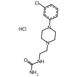 Cl.NC(=O)NCCN1CCN(c2cccc(Cl)c2)CC1